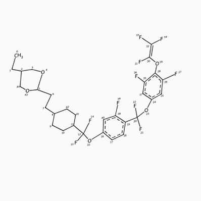 CCC1COC(CCC2CCC(C(F)(F)Oc3ccc(C(F)(F)Oc4cc(F)c(OC(F)=C(F)F)c(F)c4)c(F)c3)CC2)OC1